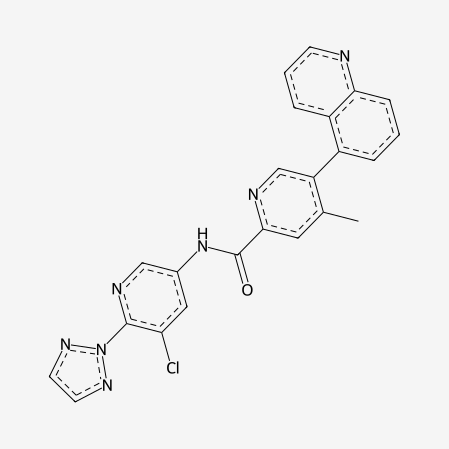 Cc1cc(C(=O)Nc2cnc(-n3nccn3)c(Cl)c2)ncc1-c1cccc2ncccc12